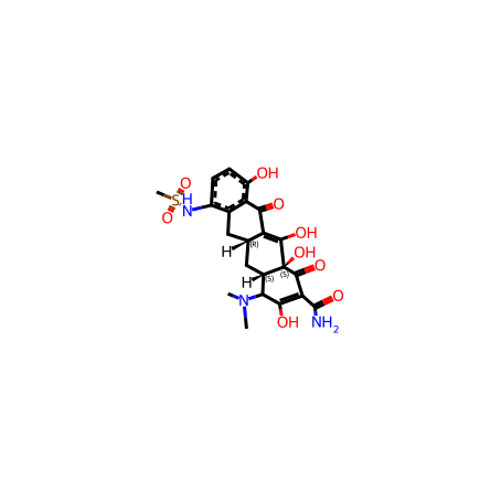 CN(C)C1C(O)=C(C(N)=O)C(=O)[C@@]2(O)C(O)=C3C(=O)c4c(O)ccc(NS(C)(=O)=O)c4C[C@H]3C[C@@H]12